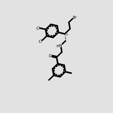 Cc1cc(C)cc(C(=O)CNC[C@@H](CCBr)c2ccc(Cl)c(Cl)c2)c1